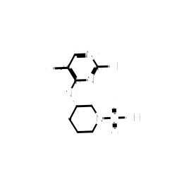 CS(=O)(=O)N1CCC[C@H](Nc2nc(Cl)ncc2Cl)C1